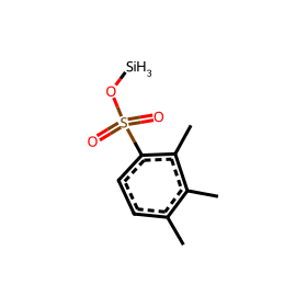 Cc1ccc(S(=O)(=O)O[SiH3])c(C)c1C